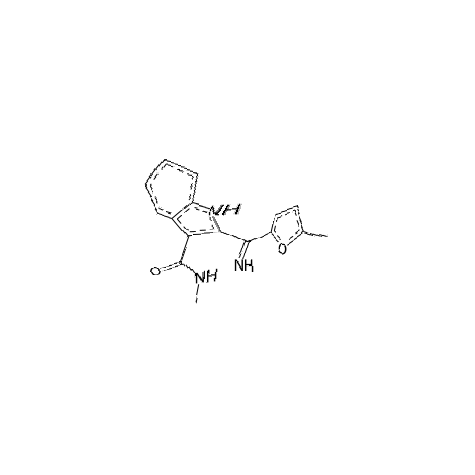 CNC(=O)c1c(C(=N)c2ccc(C)o2)[nH]c2ccccc12